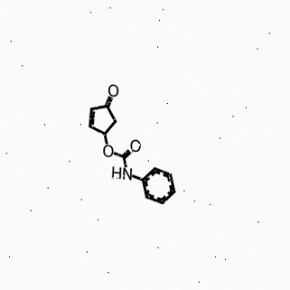 O=C1C=CC(OC(=O)Nc2ccccc2)C1